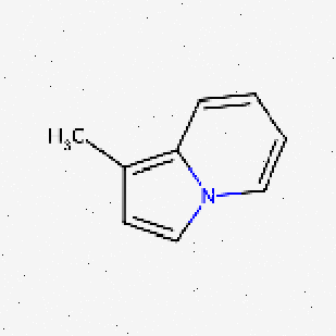 Cc1ccn2ccccc12